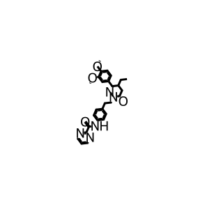 CCC1CC(=O)N(CCc2ccc(NC(=O)c3ncccn3)cc2)N=C1c1ccc(OC)c(OC)c1